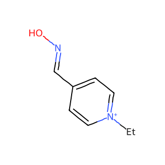 CC[n+]1ccc(C=NO)cc1